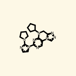 c1cn(-c2ncc3c(n2)N(C2CCCC2)Cc2nncn2-3)c(N2CCCC2)n1